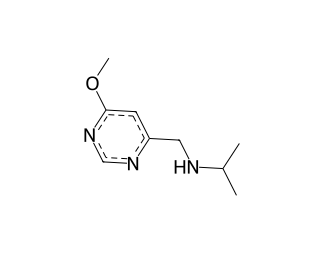 COc1cc(CNC(C)C)ncn1